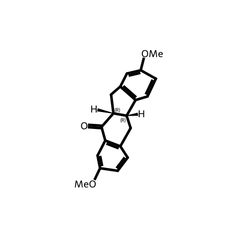 COc1ccc2c(c1)C[C@H]1C(=O)c3cc(OC)ccc3C[C@@H]21